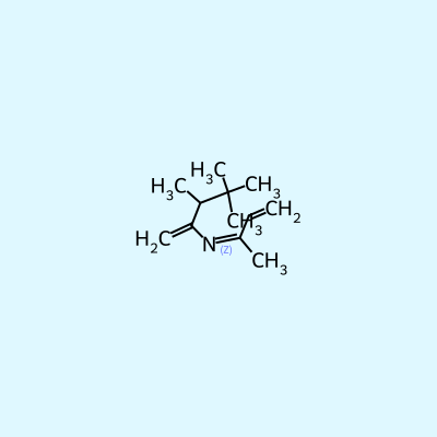 C=C/C(C)=N\C(=C)C(C)C(C)(C)C